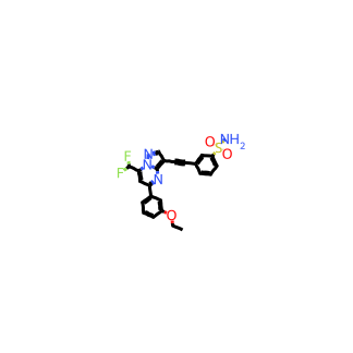 CCOc1cccc(-c2cc(C(F)F)n3ncc(C#Cc4cccc(S(N)(=O)=O)c4)c3n2)c1